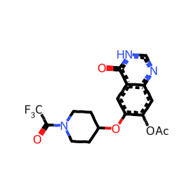 CC(=O)Oc1cc2nc[nH]c(=O)c2cc1OC1CCN(C(=O)C(F)(F)F)CC1